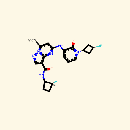 CNc1cc(Nc2cccn([C@H]3C[C@H](F)C3)c2=O)nc2c(C(=O)NC3CC[C@@H]3F)cnn12